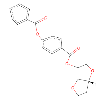 O=C(Oc1ccc(C(=O)OC2CO[C@@H]3CCOC23)cc1)c1ccccc1